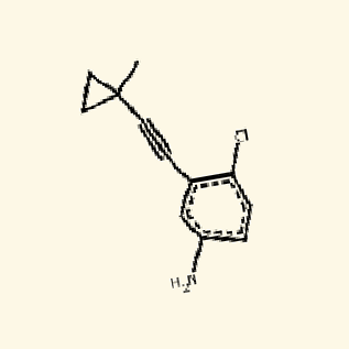 CC1(C#Cc2cc(N)ccc2Cl)CC1